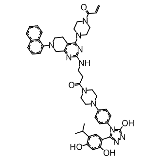 C=CC(=O)N1CCN(c2nc(NCCC(=O)N3CCN(c4ccc(-n5c(O)nnc5-c5cc(C(C)C)c(O)cc5O)cc4)CC3)nc3c2CCN(c2cccc4ccccc24)C3)CC1